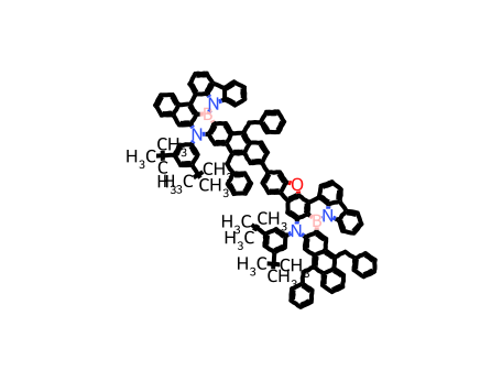 CC(C)(C)c1cc(N2c3cc4c(Cc5ccccc5)c5cc(-c6ccc7c(c6)oc6c8c9c(cc67)N(c6cc(C(C)(C)C)cc(C(C)(C)C)c6)c6cc7c(Cc%10ccccc%10)c%10ccccc%10c(Cc%10ccccc%10)c7cc6B9n6c7ccccc7c7cccc-8c76)ccc5c(Cc5ccccc5)c4cc3B3c4c2cc2ccccc2c4-c2cccc4c5ccccc5n3c24)cc(C(C)(C)C)c1